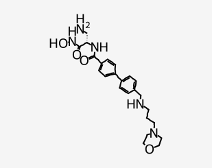 NC[C@H](NC(=O)c1ccc(-c2ccc(CNCCCN3CCOCC3)cc2)cc1)C(=O)NO